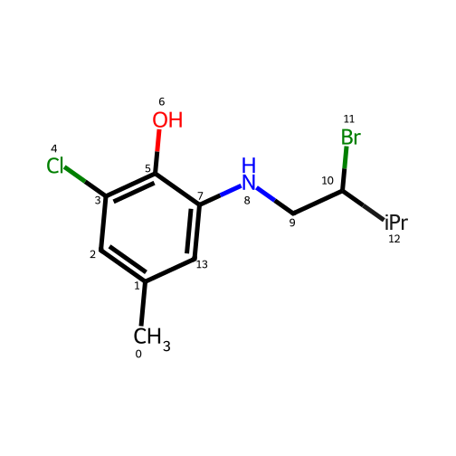 Cc1cc(Cl)c(O)c(NCC(Br)C(C)C)c1